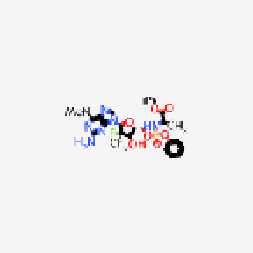 CNc1nc(N)nc2c1ncn2[C@@H]1O[C@H](CO[P@](=O)(NC(C)C(=O)OC(C)C)Oc2ccccc2)[C@@H](O)[C@]1(F)C(F)(F)F